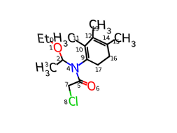 CCOC(C)N(C(=O)CCl)C1=C(C)C(C)=C(C)CC1